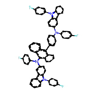 Fc1ccc(N(c2ccc(-c3c4ccccc4c(N(c4ccc(F)cc4)c4ccc5c(c4)c4ccccc4n5-c4ccc(F)cc4)c4ccccc34)cc2)c2ccc3c(c2)c2ccccc2n3-c2ccc(F)cc2)cc1